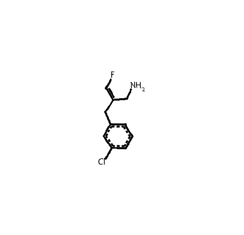 NC/C(=C\F)Cc1cccc(Cl)c1